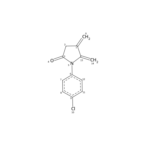 C=C1CC(=O)N(c2ccc(Cl)cc2)C1=C